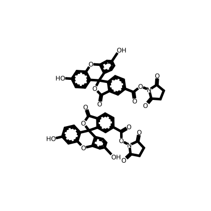 O=C(ON1C(=O)CCC1=O)c1ccc2c(c1)C(=O)OC21c2ccc(O)cc2Oc2cc(O)ccc21.O=C(ON1C(=O)CCC1=O)c1ccc2c(c1)C1(OC2=O)c2ccc(O)cc2Oc2cc(O)ccc21